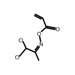 C=CC(=O)ON=C(C)C(Cl)Cl